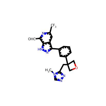 Cn1cnnc1CC1(c2cccc(-c3n[nH]c4c(C=O)nc(C(F)(F)F)cc34)c2)COC1